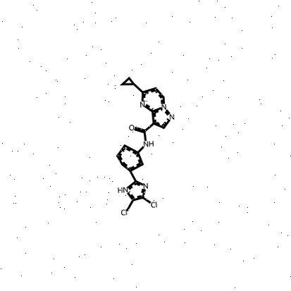 O=C(Nc1cccc(-c2nc(Cl)c(Cl)[nH]2)c1)c1cnn2ccc(C3CC3)nc12